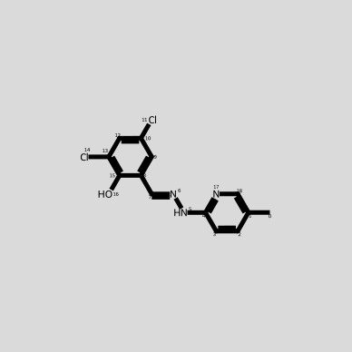 Cc1ccc(N/N=C/c2cc(Cl)cc(Cl)c2O)nc1